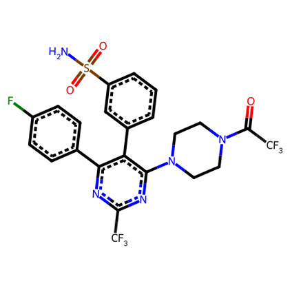 NS(=O)(=O)c1cccc(-c2c(-c3ccc(F)cc3)nc(C(F)(F)F)nc2N2CCN(C(=O)C(F)(F)F)CC2)c1